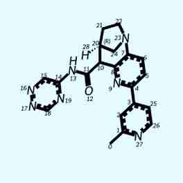 Cc1cc(-c2ccc3c(n2)C(C(=O)Nc2cnncn2)[C@H]2CCN3C2)ccn1